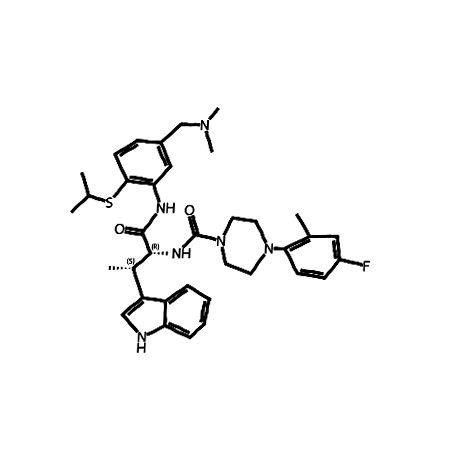 Cc1cc(F)ccc1N1CCN(C(=O)N[C@@H](C(=O)Nc2cc(CN(C)C)ccc2SC(C)C)[C@@H](C)c2c[nH]c3ccccc23)CC1